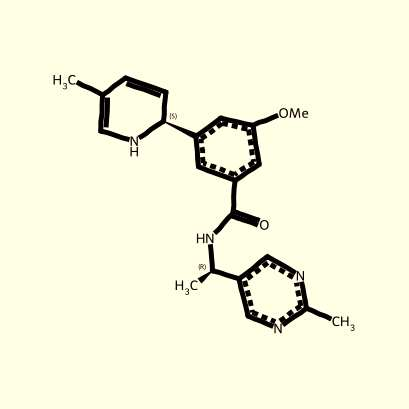 COc1cc(C(=O)N[C@H](C)c2cnc(C)nc2)cc([C@@H]2C=CC(C)=CN2)c1